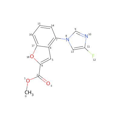 COC(=O)c1cc2c(-n3cnc(F)c3)cccc2o1